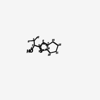 CC(C)C(O)c1cc2c(s1)CCCC2